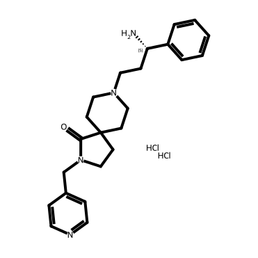 Cl.Cl.N[C@@H](CCN1CCC2(CC1)CCN(Cc1ccncc1)C2=O)c1ccccc1